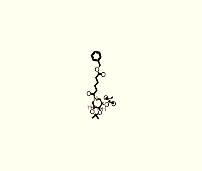 CC1(C)O[C@H]2[C@H](CN(C(=O)CCCCC(=O)OCc3ccccc3)C[C@H]2OS(C)(=O)=O)O1